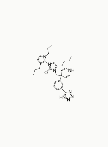 CCCCc1cn(-c2c(CCC)ccn2CCC)c(=O)n1CC1(c2cccc(-c3nnn[nH]3)c2)C=CNC=C1